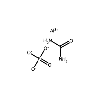 NC(N)=O.O=P([O-])([O-])[O-].[Al+3]